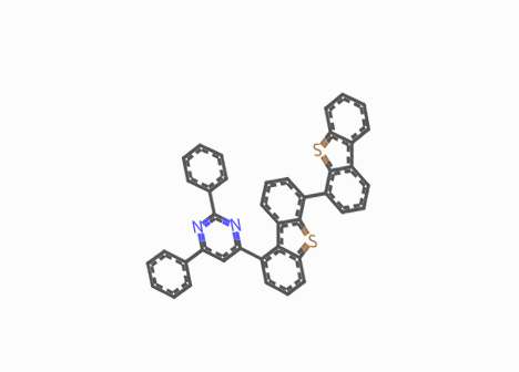 c1ccc(-c2cc(-c3cccc4sc5c(-c6cccc7c6sc6ccccc67)cccc5c34)nc(-c3ccccc3)n2)cc1